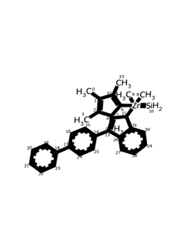 CC1=C(C)C(C)[C]([Zr]([CH3])([CH3])(=[SiH2])[CH]2C=C(c3ccc(-c4ccccc4)cc3)c3ccccc32)=C1C